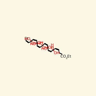 CC/C=C\C(O)(O)/C=C\C(O)(O)/C=C\C(O)(O)/C=C\C(O)(O)/C=C\C(O)(O)/C=C\CCC(=O)OCC